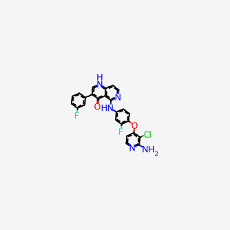 Nc1nccc(Oc2ccc(Nc3nccc4[nH]cc(-c5cccc(F)c5)c(=O)c34)cc2F)c1Cl